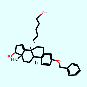 C[C@]12CC[C@@H]3c4ccc(OCc5ccccc5)cc4C[C@@H](CCCCCO)[C@H]3C1=CC[C@@H]2O